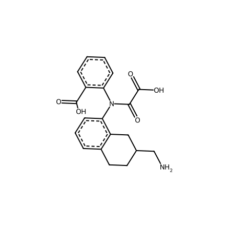 NCC1CCc2cccc(N(C(=O)C(=O)O)c3ccccc3C(=O)O)c2C1